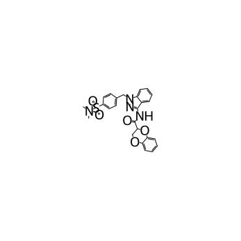 CN(C)S(=O)(=O)c1ccc(Cn2nc(NC(=O)C3COc4ccccc4O3)c3ccccc32)cc1